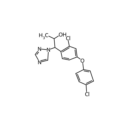 CC(O)C(c1ccc(Oc2ccc(Cl)cc2)cc1Cl)n1cncn1